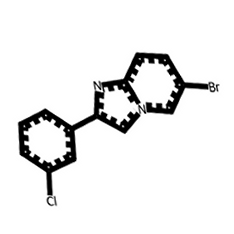 Clc1cccc(-c2cn3cc(Br)ccc3n2)c1